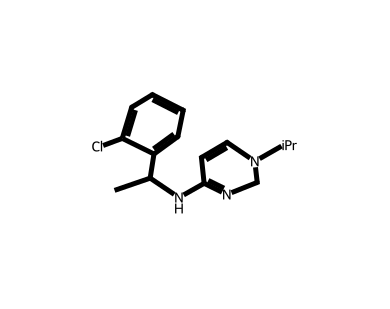 CC(NC1=NCN(C(C)C)C=C1)c1ccccc1Cl